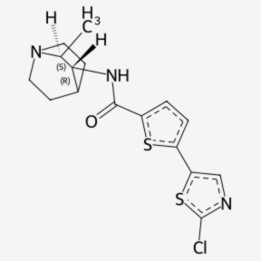 C[C@H]1[C@H](NC(=O)c2ccc(-c3cnc(Cl)s3)s2)C2CCN1CC2